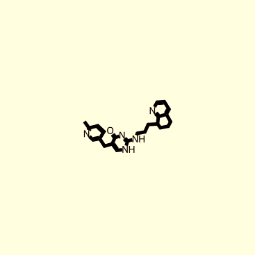 Cc1ccc(Cc2c[nH]c(NCCCC3CCCc4cccnc43)nc2=O)cn1